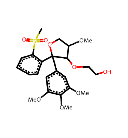 COc1cc(C2(c3ccccc3S(C)(=O)=O)OCC(OC)C2OCCO)cc(OC)c1OC